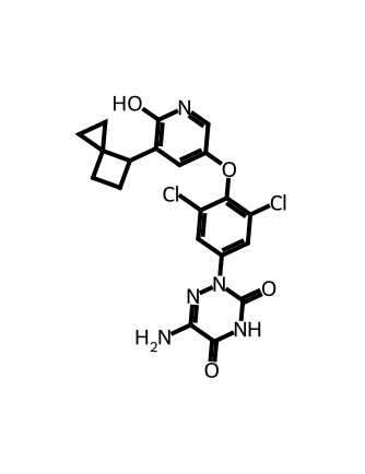 Nc1nn(-c2cc(Cl)c(Oc3cnc(O)c(C4CCC45CC5)c3)c(Cl)c2)c(=O)[nH]c1=O